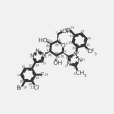 Cc1nc([C@@H]2O[C@H](CO)[C@H](O)[C@H](n3cc(-c4ccc(Br)c(Cl)c4F)nn3)[C@H]2O)n(-c2cc(Cl)ccc2C(F)(F)F)n1